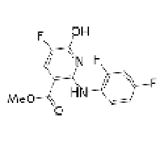 COC(=O)c1cc(F)c(O)nc1Nc1ccc(F)cc1F